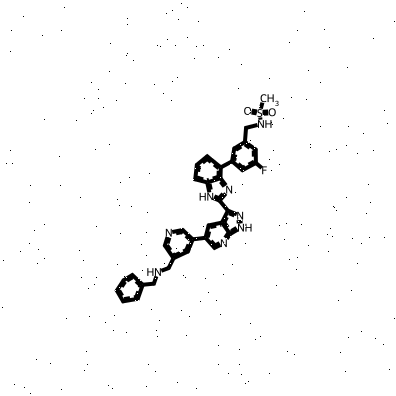 CS(=O)(=O)NCc1cc(F)cc(-c2cccc3[nH]c(-c4n[nH]c5ncc(-c6cncc(CNCc7ccccc7)c6)cc45)nc23)c1